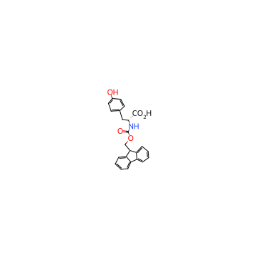 O=C(N[C@H](Cc1ccc(O)cc1)C(=O)O)OCC1c2ccccc2-c2ccccc21